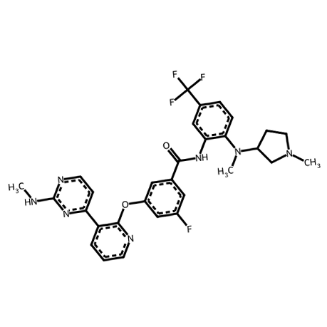 CNc1nccc(-c2cccnc2Oc2cc(F)cc(C(=O)Nc3cc(C(F)(F)F)ccc3N(C)C3CCN(C)C3)c2)n1